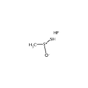 C[S+]([O-])S.F